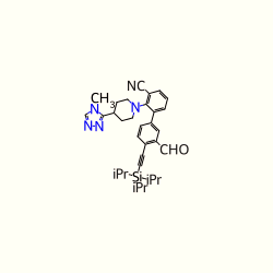 CC(C)[Si](C#Cc1ccc(-c2cccc(C#N)c2N2CCC(c3nncn3C)CC2)cc1C=O)(C(C)C)C(C)C